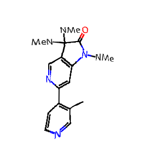 CNN1C(=O)C(NC)(NC)c2cnc(-c3ccncc3C)cc21